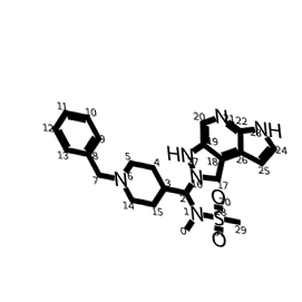 CN(C(C1CCN(Cc2ccccc2)CC1)N1Cc2c(cnc3[nH]ccc23)N1)S(C)(=O)=O